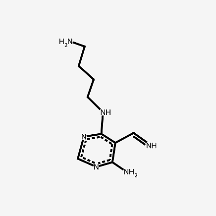 N=Cc1c(N)ncnc1NCCCCN